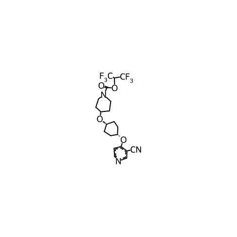 N#Cc1cnccc1O[C@H]1CC[C@H](OC2CCN(C(=O)OC(C(F)(F)F)C(F)(F)F)CC2)CC1